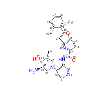 C[C@H]1CN(c2ccncc2NC(=O)c2ccc3oc(-c4c(F)cccc4F)cc3n2)C[C@@H](N)[C@@H]1O